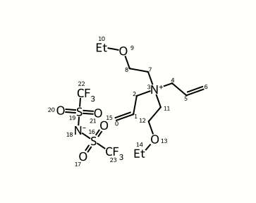 C=CC[N+](CC=C)(CCOCC)CCOCC.O=S(=O)([N-]S(=O)(=O)C(F)(F)F)C(F)(F)F